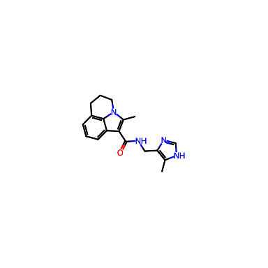 Cc1[nH]cnc1CNC(=O)c1c(C)n2c3c(cccc13)CCC2